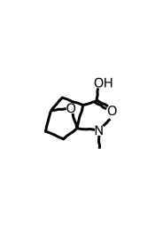 CN(C)C12CCC(CC1C(=O)O)O2